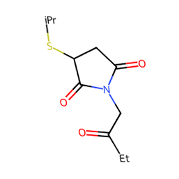 CCC(=O)CN1C(=O)CC(SC(C)C)C1=O